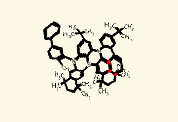 Cc1ccc(-c2ccccc2)cc1N1c2cc3c(cc2B2c4cc5c(cc4N(c4ccc(C(C)(C)C)cc4-c4ccccc4)c4cc(C(C)(C)C)cc1c42)C(C)(C)CCC5(C)C)C(C)(C)CCC3(C)C